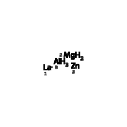 [AlH3].[La].[MgH2].[Zn]